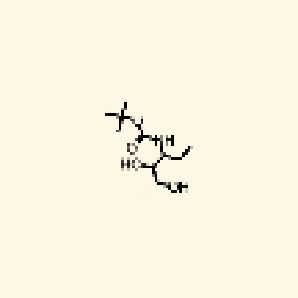 CCC(NC(=O)OC(C)(C)C)C(O)[C@@H](C)O